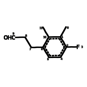 Cc1c(F)ccc(CCC=O)c1C